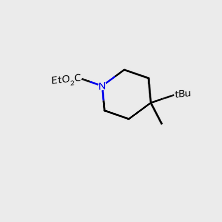 CCOC(=O)N1CCC(C)(C(C)(C)C)CC1